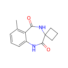 Cc1cccc2c1C(=O)NC1(CCC1)C(=O)N2